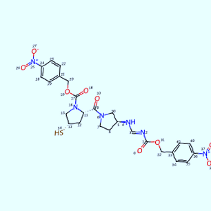 O=C(N=CN[C@H]1CCN(C(=O)[C@@H]2C[C@H](S)CN2C(=O)OCc2ccc([N+](=O)[O-])cc2)C1)OCc1ccc([N+](=O)[O-])cc1